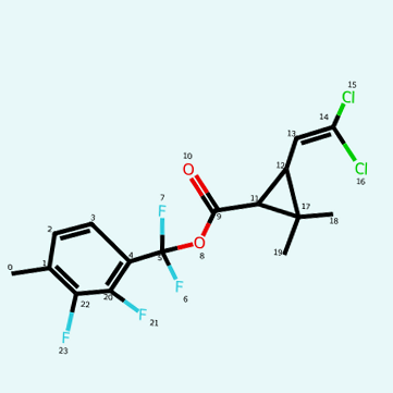 Cc1ccc(C(F)(F)OC(=O)C2C(C=C(Cl)Cl)C2(C)C)c(F)c1F